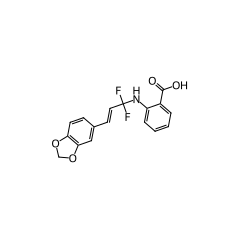 O=C(O)c1ccccc1NC(F)(F)/C=C/c1ccc2c(c1)OCO2